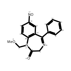 COCN1C(=O)CN=C(c2ccccc2)c2cc(N=O)ccc21